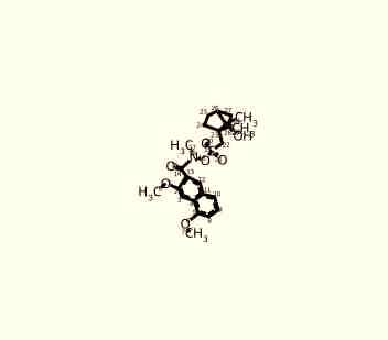 COc1cc2c(OC)cccc2cc1C(=O)N(C)OS(=O)(=O)CC12CCC(CC1O)C2(C)C